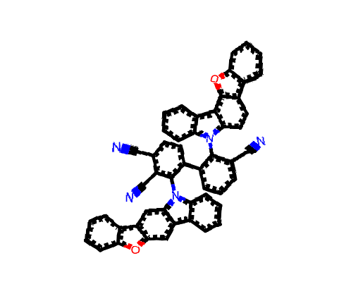 N#Cc1ccc(-c2cccc(C#N)c2-n2c3ccccc3c3c4oc5ccccc5c4ccc32)c(-n2c3ccccc3c3cc4oc5ccccc5c4cc32)c1C#N